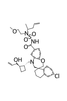 C=CCC(C)N(CCOC)S(=O)(=O)NC(=O)c1ccc2c(c1)N(C[C@@H]1CC[C@H]1C(O)C=C)C[C@@]1(CCCc3cc(Cl)ccc31)CO2